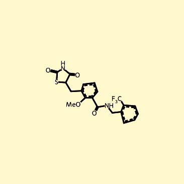 COc1c(CC2SC(=O)NC2=O)cccc1C(=O)NCc1ccccc1C(F)(F)F